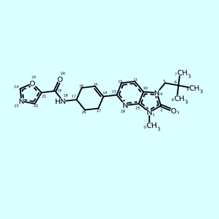 Cn1c(=O)n(CC(C)(C)C)c2ccc(C3=CCC(NC(=O)c4cnco4)CC3)nc21